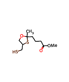 COC(=O)CCCC1(C)OCC(CS)S1